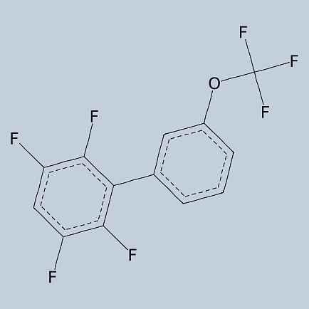 Fc1cc(F)c(F)c(-c2cccc(OC(F)(F)F)c2)c1F